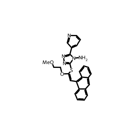 COCCOC(=Cc1c2ccccc2cc2ccccc12)Sc1nnc(-c2cccnc2)n1N